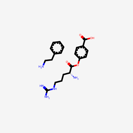 N=C(N)NCCC[C@@H](N)C(=O)Oc1ccc(C(=O)O)cc1.NCCc1ccccc1